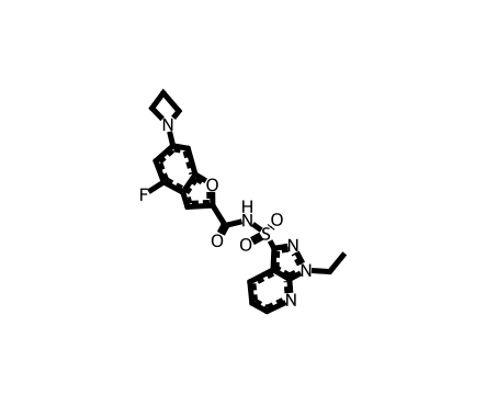 CCn1nc(S(=O)(=O)NC(=O)c2cc3c(F)cc(N4CCC4)cc3o2)c2cccnc21